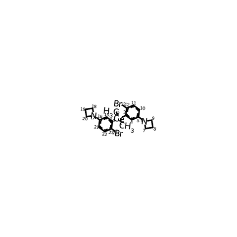 [CH3][Ge]([CH3])([c]1cc(N2CCC2)ccc1Br)[c]1cc(N2CCC2)ccc1Br